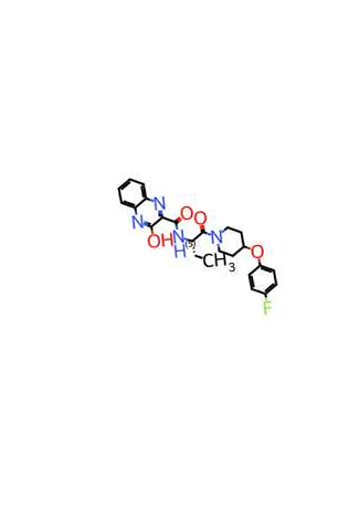 CC[C@H](NC(=O)c1nc2ccccc2nc1O)C(=O)N1CCC(Oc2ccc(F)cc2)CC1